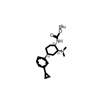 CN(C)[C@H]1C[C@@H](c2cccc(C3CC3)c2)CC[C@@H]1NC(=O)OC(C)(C)C